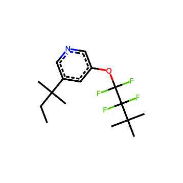 CCC(C)(C)c1cncc(OC(F)(F)C(F)(F)C(C)(C)C)c1